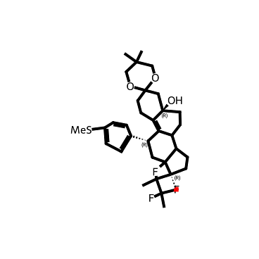 CSc1ccc([C@H]2CC3(C)C(CC[C@@]3(C)C(C)(F)C(C)(F)F)C3CC[C@@]4(O)CC5(CCC4=C32)OCC(C)(C)CO5)cc1